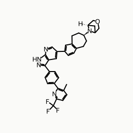 Cc1ccc(C(F)(F)F)nc1-c1ccc(-c2n[nH]c3ncc(-c4ccc5c(c4)CC[C@@H](N4C6COC[C@H]4C6)CC5)cc23)cc1